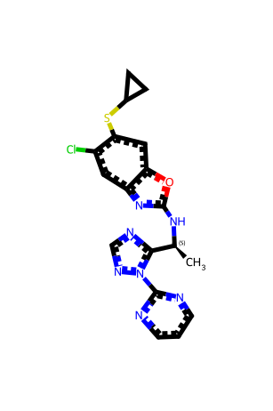 C[C@H](Nc1nc2cc(Cl)c(SC3CC3)cc2o1)c1ncnn1-c1ncccn1